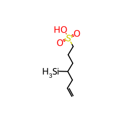 C=CCC([SiH3])CCCS(=O)(=O)O